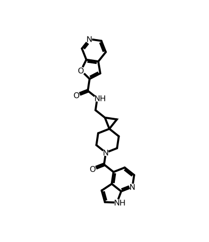 O=C(NCC1CC12CCN(C(=O)c1ccnc3[nH]ccc13)CC2)c1cc2ccncc2o1